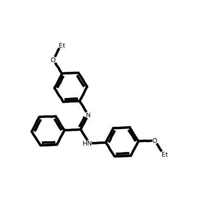 CCOc1ccc(/N=C(/Nc2ccc(OCC)cc2)c2ccccc2)cc1